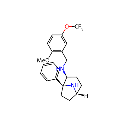 COc1ccc(OC(F)(F)F)cc1CN[C@H]1CC[C@@H]2CC[C@@]1(c1ccccc1)N2